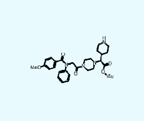 COc1ccc(C(=O)N(CC(=O)N2CCN(C(C(=O)OC(C)(C)C)C3CCNCC3)CC2)c2ccccc2)cc1